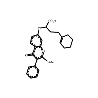 CSc1oc2cc(OC(CCC3=CCCCC3)C(=O)O)ccc2c(=O)c1-c1ccccc1